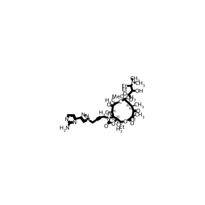 CCO[C@@H](O[C@@H]1[C@@H](C)C(=O)[C@](C)(F)C(=O)O[C@H](CC)[C@@]2(C)OC(=O)N(CC#CCn3cc(-c4ccnc(N)n4)nn3)[C@@H]2[C@@H](C)C(=O)[C@H](C)C[C@@]1(C)OC)C(O)C(CC)N(C)C